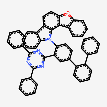 c1ccc(-c2nc(-c3ccccc3)nc(-c3cc(-c4ccccc4-c4ccccc4)ccc3-n3c4ccccc4c4ccc5oc6ccccc6c5c43)n2)cc1